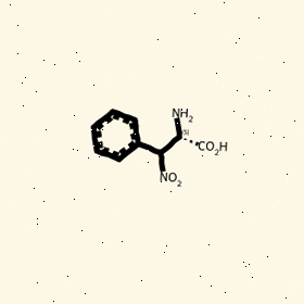 N[C@H](C(=O)O)C(c1ccccc1)[N+](=O)[O-]